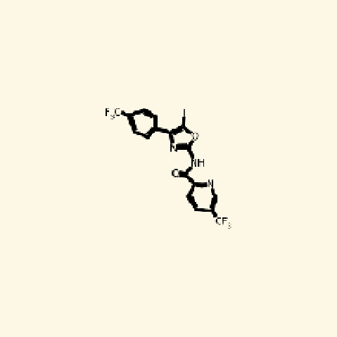 O=C(Nc1nc(-c2ccc(C(F)(F)F)cc2)c(I)o1)c1ccc(C(F)(F)F)cn1